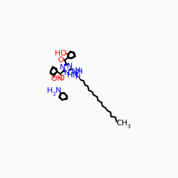 CCCCCCCCCCCCCCCCCCNNNc1nc(C(=O)c2ccccc2O)nc(C(=O)c2ccccc2O)n1.Nc1ccccc1